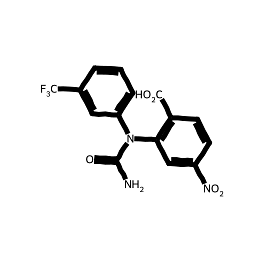 NC(=O)N(c1cccc(C(F)(F)F)c1)c1cc([N+](=O)[O-])ccc1C(=O)O